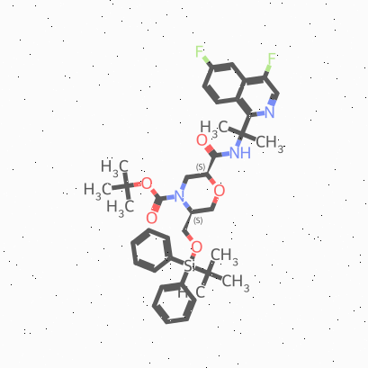 CC(C)(C)OC(=O)N1C[C@@H](C(=O)NC(C)(C)c2ncc(F)c3cc(F)ccc23)OC[C@H]1CO[Si](c1ccccc1)(c1ccccc1)C(C)(C)C